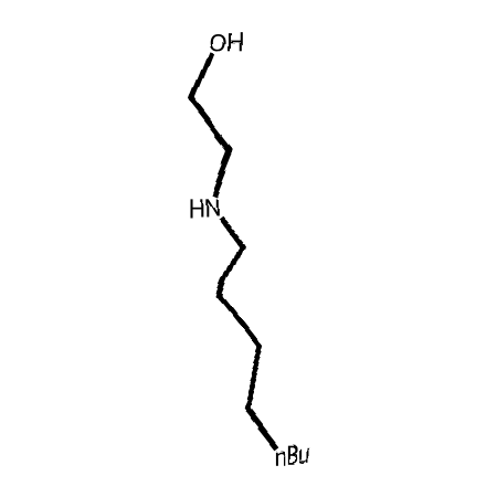 CCCCCCCCNCCO